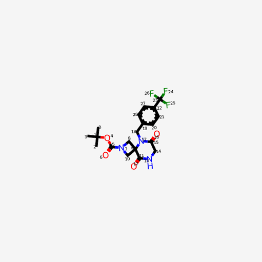 CC(C)(C)OC(=O)N1CC2(C1)C(=O)NCC(=O)N2Cc1ccc(C(F)(F)F)cc1